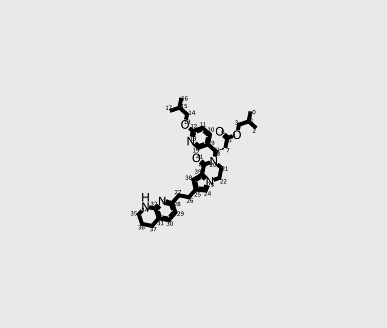 CC(C)COC(=O)C[C@@H](c1ccc(OCC(C)C)nc1)N1CCn2cc(CCc3ccc4c(n3)NCCC4)cc2C1=O